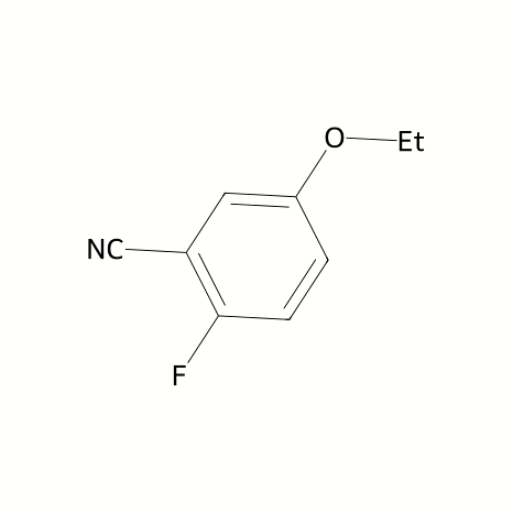 CCOc1ccc(F)c(C#N)c1